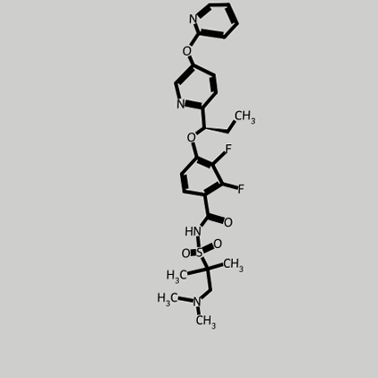 CC[C@@H](Oc1ccc(C(=O)NS(=O)(=O)C(C)(C)CN(C)C)c(F)c1F)c1ccc(Oc2ccccn2)cn1